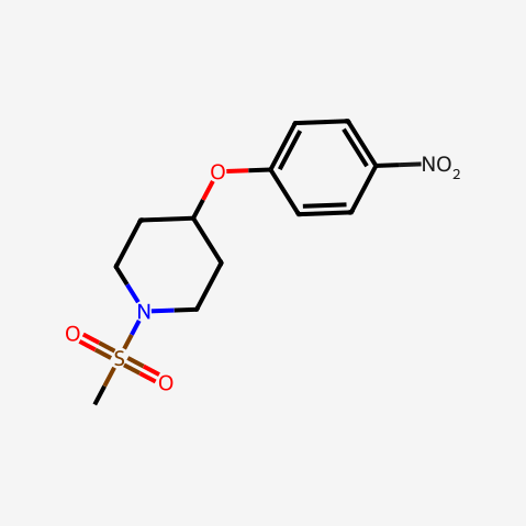 CS(=O)(=O)N1CCC(Oc2ccc([N+](=O)[O-])cc2)CC1